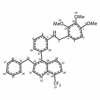 COc1ccc(CNc2cccc(-c3c(Cc4ccccc4)cnc4c(C(F)(F)F)cccc34)c2)c(OC)c1OC